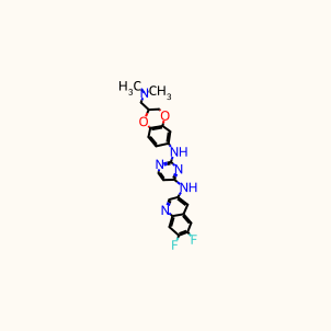 CN(C)CC1COc2cc(Nc3nccc(Nc4cnc5cc(F)c(F)cc5c4)n3)ccc2O1